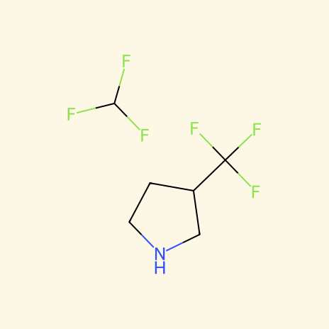 FC(F)(F)C1CCNC1.FC(F)F